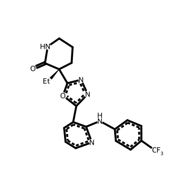 CC[C@]1(c2nnc(-c3cccnc3Nc3ccc(C(F)(F)F)cc3)o2)CCCNC1=O